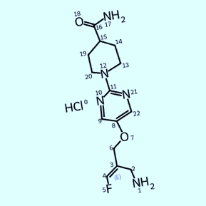 Cl.NC/C(=C\F)COc1cnc(N2CCC(C(N)=O)CC2)nc1